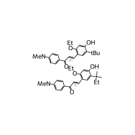 CCOc1cc(O)c(C(C)(C)C)cc1/C=C/C(=O)c1ccc(NC)cc1.CCOc1cc(O)c(C(C)(C)CC)cc1/C=C/C(=O)c1ccc(NC)cc1